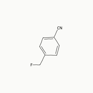 N#Cc1ccc(CF)cc1